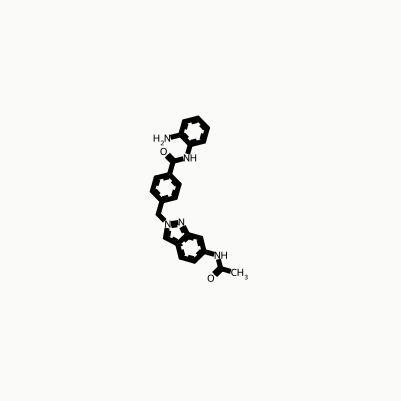 CC(=O)Nc1ccc2cn(Cc3ccc(C(=O)Nc4ccccc4N)cc3)nc2c1